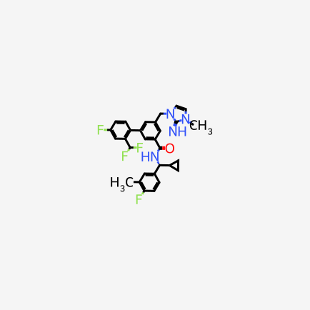 Cc1cc([C@@H](NC(=O)c2cc(Cn3ccn(C)c3=N)cc(-c3ccc(F)cc3C(F)F)c2)C2CC2)ccc1F